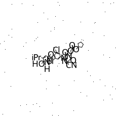 CC(C)C1=CC(Oc2c(Cl)cc(-n3nc(C#N)c(=O)n(COC(=O)OC4CCCC4)c3=O)cc2Cl)=NNC1O